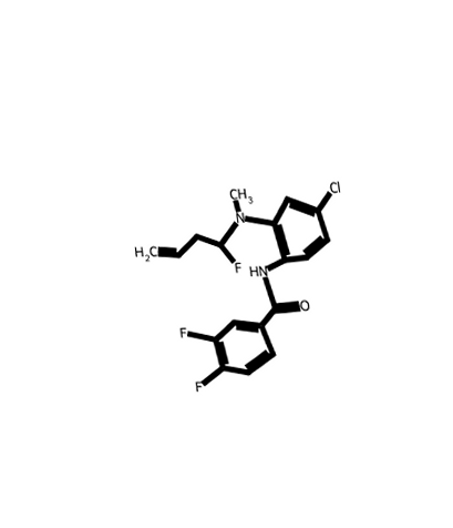 C=CCC(F)N(C)c1cc(Cl)ccc1NC(=O)c1ccc(F)c(F)c1